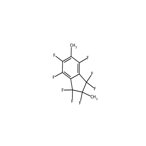 Cc1c(F)c(F)c2c(c1F)C(F)(F)C(C)(F)C2(F)F